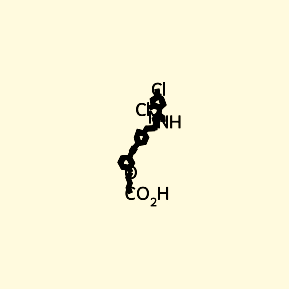 O=C(O)CCCOc1cccc(C#Cc2ccc(C=Cc3nc(-c4ccc(Cl)cc4Cl)c[nH]3)cc2)c1